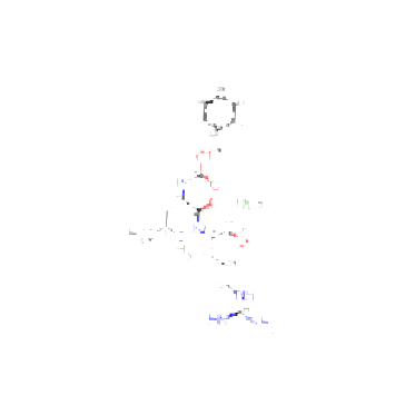 CC(C)C[C@H](NC(=O)OCc1ccccc1)C(=O)N[C@H](C=O)CCCNC(=N)N.Cl